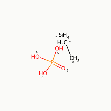 CC.O=P(O)(O)O.[SiH4]